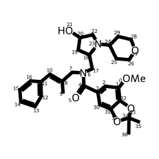 COc1cc(C(=O)N(C/C(C)=C/c2ccccc2)CC2CC(O)CN2C2CCOCC2)cc2c1OC(C)(C)O2